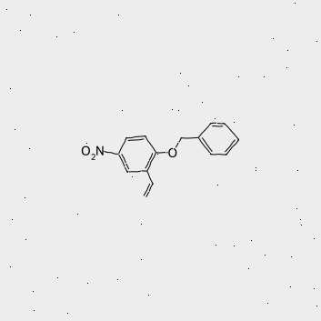 C=Cc1cc([N+](=O)[O-])ccc1OCc1ccccc1